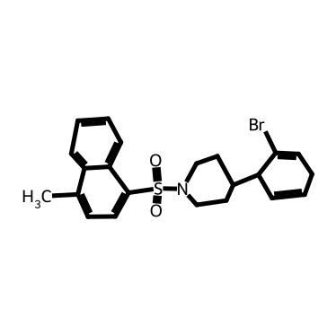 Cc1ccc(S(=O)(=O)N2CCC(C3C=CCC=C3Br)CC2)c2ccccc12